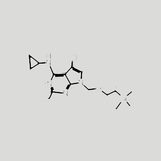 C[Si](C)(C)CCOCn1cc(Cl)c2c(NC3CC3)nc(Cl)nc21